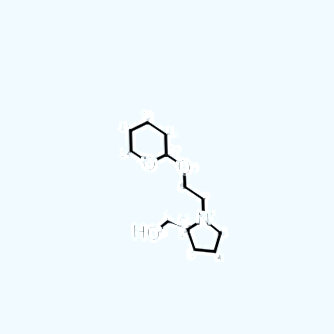 OC[C@@H]1CCCN1CCOC1CCCCO1